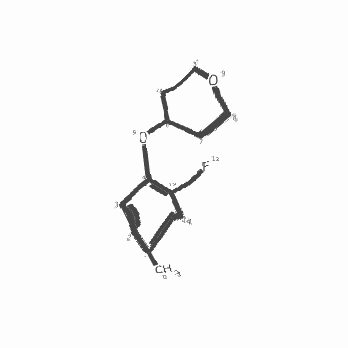 Cc1ccc(OC2CCOCC2)c(F)c1